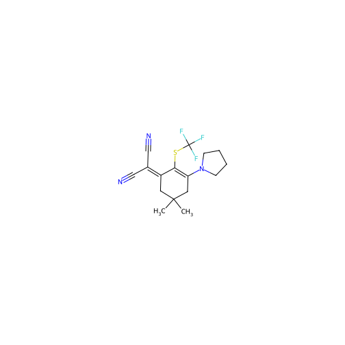 CC1(C)CC(=C(C#N)C#N)C(SC(F)(F)F)=C(N2CCCC2)C1